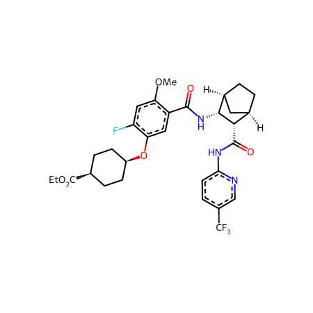 CCOC(=O)[C@H]1CC[C@@H](Oc2cc(C(=O)N[C@@H]3[C@H]4CC[C@H](C4)[C@@H]3C(=O)Nc3ccc(C(F)(F)F)cn3)c(OC)cc2F)CC1